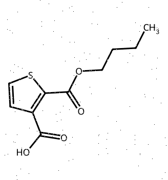 CCCCOC(=O)c1sccc1C(=O)O